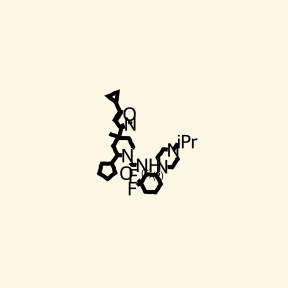 CC(C)N1CCN([C@@H]2CCCC(F)(F)[C@H]2NC(=O)N2CCC(C)(c3cc(C4CC4)on3)CC2C2CCCC2)CC1